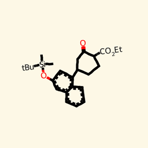 CCOC(=O)C1CCC(c2cc(O[Si](C)(C)C(C)(C)C)cc3ccccc23)CC1=O